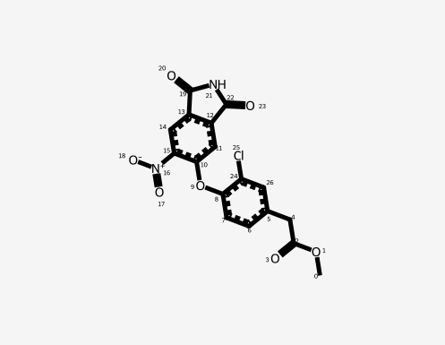 COC(=O)Cc1ccc(Oc2cc3c(cc2[N+](=O)[O-])C(=O)NC3=O)c(Cl)c1